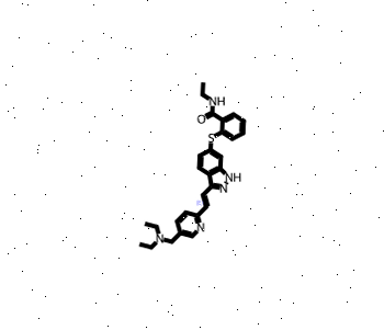 CCNC(=O)c1ccccc1Sc1ccc2c(/C=C/c3ccc(CN(CC)CC)cn3)n[nH]c2c1